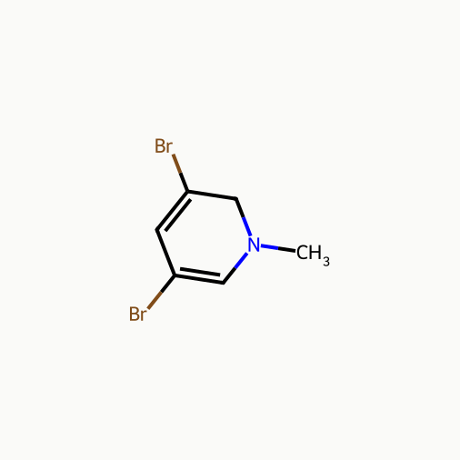 CN1C=C(Br)C=C(Br)C1